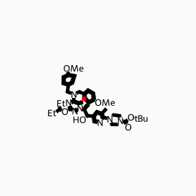 CCC(CC)Oc1nc(N(Cc2ccc(OC)cc2)Cc2ccc(OC)cc2)c2ncc(C(O)c3cnc(N4CCN(C(=O)OC(C)(C)C)CC4)c(C)c3)n2n1